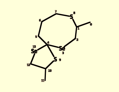 CC1C[Se]C2(CCCS1)SC(C)C[Se]2